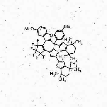 COc1ccc2oc3c(c2c1)C1=C(c2cc(-c4cc5c(s4)C(C)(C)CCC5(C)C)sc2C3(c2ccc(C(C)(C)C)cc2)c2cc3c(s2)C(C)(C)CCC3(C)C)C(F)(F)C(F)(F)C1(F)F